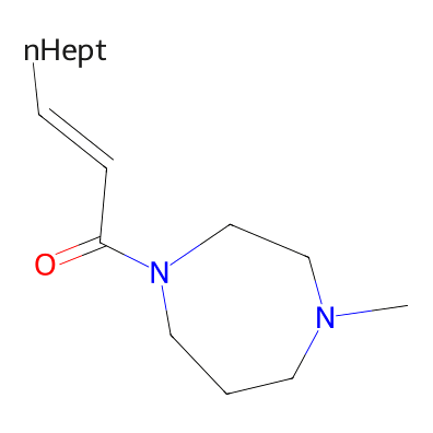 CCCCCCCC=CC(=O)N1CCCN(C)CC1